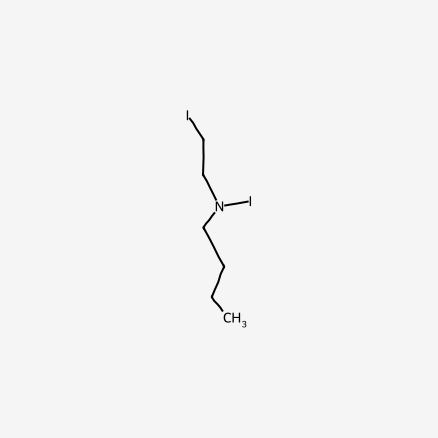 CCCCN(I)CCI